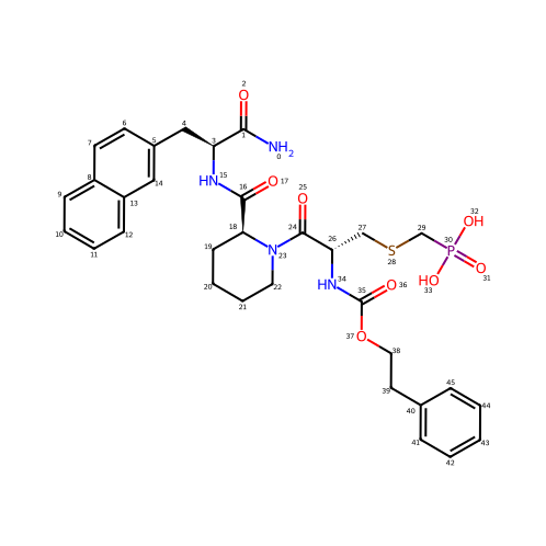 NC(=O)[C@H](Cc1ccc2ccccc2c1)NC(=O)[C@@H]1CCCCN1C(=O)[C@H](CSCP(=O)(O)O)NC(=O)OCCc1ccccc1